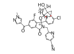 [2H]C([2H])(O)C1(C([2H])([2H])O[C@]2(c3ccc(Cl)cc3)c3c(F)cc(C(=O)c4cnn(C)c4)cc3C(=O)N2Cc2ccc(C#N)cn2)CC1